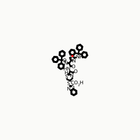 O=C(NC1C(=O)N2CC(Sc3nc4ccccc4s3)(C(=O)O)CS[C@H]12)C(=NOC(c1ccccc1)(c1ccccc1)c1ccccc1)c1csc(NC(c2ccccc2)(c2ccccc2)c2ccccc2)n1